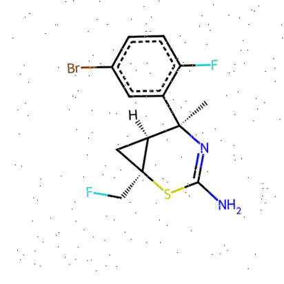 C[C@]1(c2cc(Br)ccc2F)N=C(N)S[C@@]2(CF)C[C@H]21